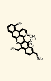 Cc1c2c(c(CC(C)C)c3ccc(CC(C)(C)C)cc13)Sc1cc3cccc(C(C)C)c3c3cc[n+](C)c-2c13